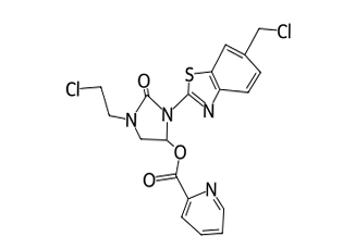 O=C(OC1CN(CCCl)C(=O)N1c1nc2ccc(CCl)cc2s1)c1ccccn1